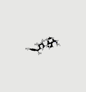 CC#C[C@@H](O)[C@H]1O[C@@H](n2ncc3/c(=N\N)nc[nH]c32)[C@H](O)[C@@H]1O